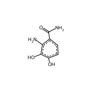 NC(=O)c1ccc(O)c(O)c1N